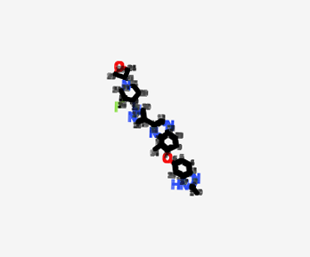 Cc1nc2ccc(Oc3ccc4ncc(-c5cnn([C@H]6CCN(C7COC7)C[C@@H]6F)c5)nc4c3C)cc2[nH]1